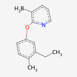 Bc1cccnc1Oc1ccc(C)c(CC)c1